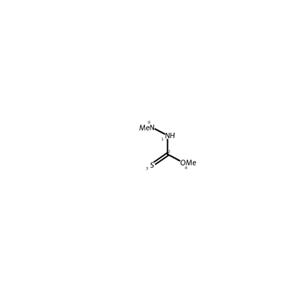 CNNC(=S)OC